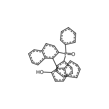 O=P(c1ccccc1)(c1ccccc1)c1ccc2ccccc2c1-c1c(O)ccc2ccccc12